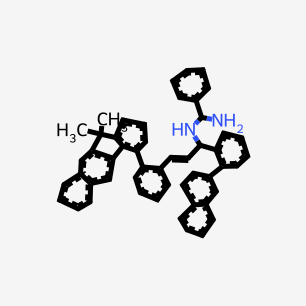 CC1(C)c2cc3ccccc3cc2-c2c(-c3ccccc3/C=C/C(NC(N)c3ccccc3)c3ccccc3-c3ccc4ccccc4c3)cccc21